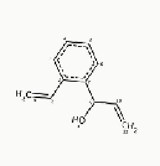 C=Cc1ccccc1C(O)C=C